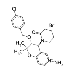 CC1(C)Oc2cc[n+](N)cc2[C@H](N2CCCCC2=O)[C@H]1OCc1ccc(Cl)cc1.[Br-]